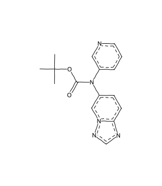 CC(C)(C)OC(=O)N(c1cccnc1)c1ccc2ncnn2c1